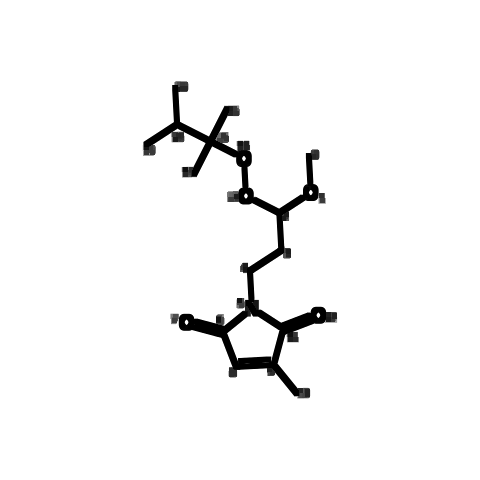 COC(CCN1C(=O)C=C(C)C1=O)OOC(C)(C)C(C)C